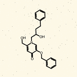 O=c1cc(CO)n(CC(O)CCc2ccccc2)cc1OCc1ccccc1